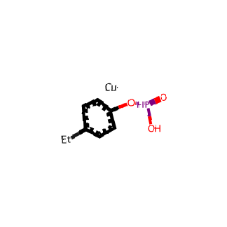 CCc1ccc(O[PH](=O)O)cc1.[Cu]